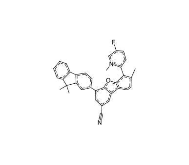 Cc1ccc2c(oc3c(-c4ccc5c(c4)C(C)(C)c4ccccc4-5)cc(C#N)cc32)c1-c1ccc(F)c[n+]1C